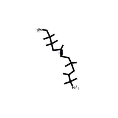 C/C(=C\CC(C)(C)CC(C)C(C)(C)N)CC(C)(C)C(C)(C)CC(C)(C)C